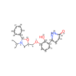 CC(C)N1CC(COc2cccc(-c3ccc(=O)[nH]n3)c2O)OC1c1ccccc1